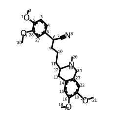 COc1ccc(C(C#N)CCCC2Cc3cc(OC)c(OC)cc3CN2C)cc1OC